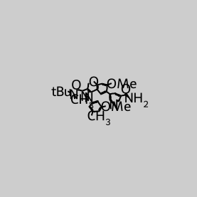 COc1cc(C)cc(-n2nc(C(=O)N(C)C(C)(C)C)c3c2-c2cc(-c4cncc(C(N)=O)c4)c(OC)cc2OC3)c1